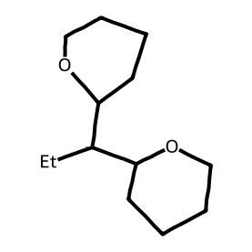 CC[C](C1CCCCO1)C1CCCCO1